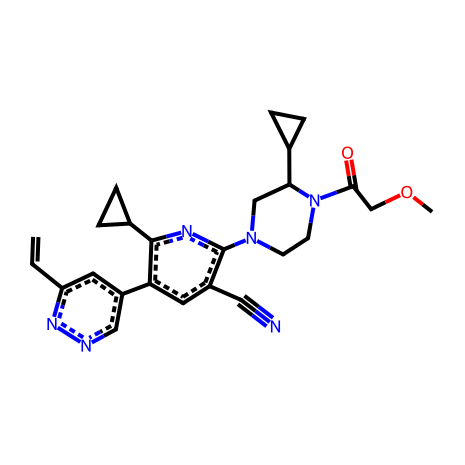 C=Cc1cc(-c2cc(C#N)c(N3CCN(C(=O)COC)C(C4CC4)C3)nc2C2CC2)cnn1